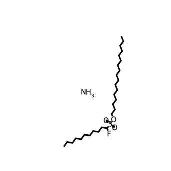 CCCCCCCCCCCCCCCCCOS(=O)(=O)C(F)CCCCCCCCCC.N